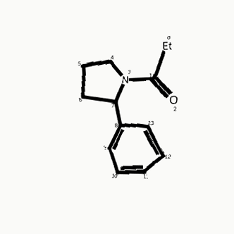 CCC(=O)N1CCCC1c1ccccc1